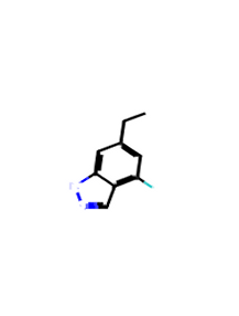 CCc1cc(F)c2cn[nH]c2c1